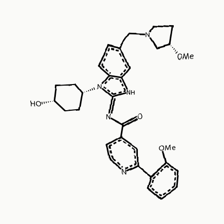 COc1ccccc1-c1cc(C(=O)/N=c2\[nH]c3cc(CN4CC[C@H](OC)C4)ccc3n2[C@H]2CC[C@@H](O)CC2)ccn1